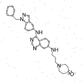 [O-][S+]1CCN(CCCNc2ccc3c(Nc4ccc5c(cnn5Cc5ccccc5)c4)ncnc3c2)CC1